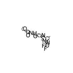 Cc1cc(-c2nc3ccc(OCCNC(=O)OCC4CCCO4)cc3s2)c2ncc(OC(F)F)nc2c1